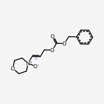 O=C(OC/C=C/[N+]1([O-])CCOCC1)OCc1ccccc1